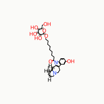 CC[C@H]1C[C@H]2C[C@H]3c4c(c5cc(O)ccc5n4C(=O)CCCCCCCCO[C@H]4O[C@H](CO)[C@@H](O)[C@H](O)[C@H]4O)CCN(C2)C13